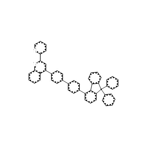 c1ccc(C2(c3ccccc3)c3ccccc3-c3c(-c4ccc(-c5ccc(-c6cc(-c7ccccn7)nc7ccccc67)cc5)cc4)cccc32)cc1